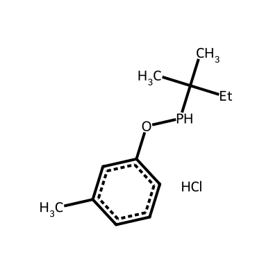 CCC(C)(C)POc1cccc(C)c1.Cl